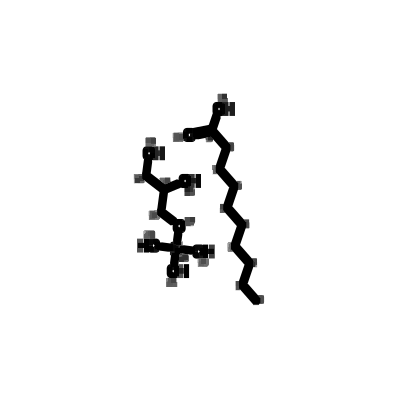 CCCCCCCCCC(=O)O.OCC(O)CO[Si](O)(O)O